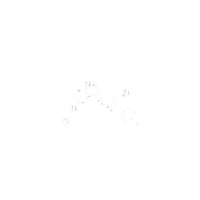 CC(C)c1cc(N(C)c2nc(-c3ccc(F)cc3)c(C#N)s2)c2cc(N3CCNCC3)cc(F)c2n1